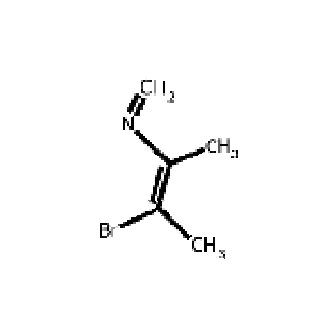 C=N/C(C)=C(/C)Br